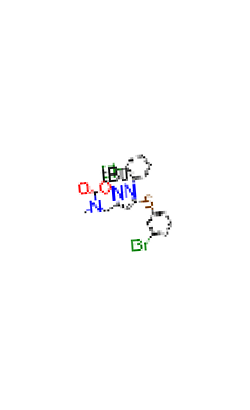 CN(Cc1cc(Sc2cccc(Br)c2)n(-c2ccccc2Cl)n1)C(=O)OC(C)(C)C